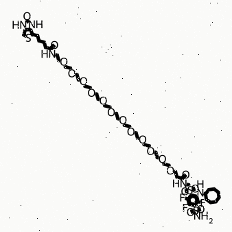 NS(=O)(=O)c1c(F)c(F)c(S(=O)(=O)CNC(=O)CCOCCOCCOCCOCCOCCOCCOCCOCCOCCOCCOCCOCCNC(=O)CCCCC2SCC3NC(=O)NC32)c(NC2CCCCCCC2)c1F